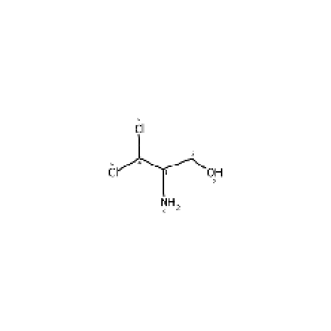 NC(CO)C(Cl)Cl